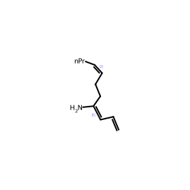 C=C/C=C(/N)CC/C=C\CCC